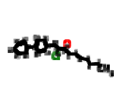 CCCCCCCC(=O)C(Cl)Cc1ccc(-c2[c]cccc2)cc1